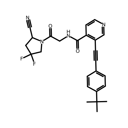 CC(C)(C)c1ccc(C#Cc2cnccc2C(=O)NCC(=O)N2CC(F)(F)CC2C#N)cc1